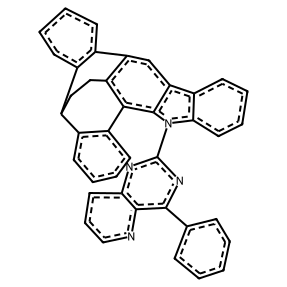 c1ccc(-c2nc(-n3c4ccccc4c4cc5c6c(c43)-c3ccccc3C(CC6)c3ccccc3-5)nc3cccnc23)cc1